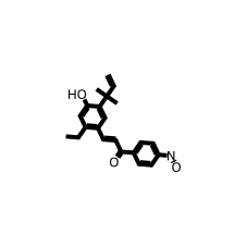 C=CC(C)(C)c1cc(/C=C/C(=O)c2ccc(N=O)cc2)c(CC)cc1O